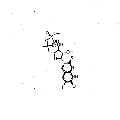 CCC(C)(C[C@H]1O[C@@H](n2cc3cc(F)c(=O)[nH]c3nc2=S)[C@@H](O)C1O)OP(=O)(O)O